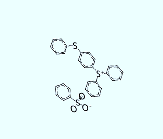 O=S(=O)([O-])c1ccccc1.c1ccc(Sc2ccc([S+](c3ccccc3)c3ccccc3)cc2)cc1